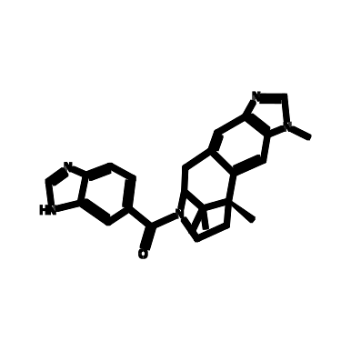 Cn1cnc2cc3c(cc21)[C@]1(C)CCN(C(=O)c2ccc4nc[nH]c4c2)C(C3)C1(C)C